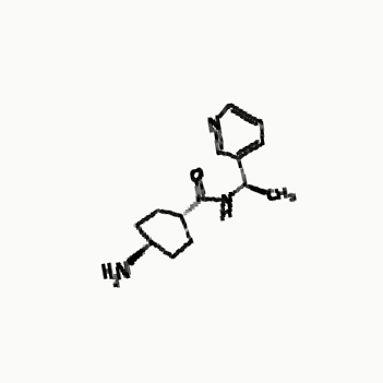 C[C@@H](NC(=O)[C@H]1CC[C@H](N)CC1)c1cccnc1